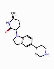 C=C1CCC(N2CCc3cc(C4CCNCC4)ccc32)C(=O)N1